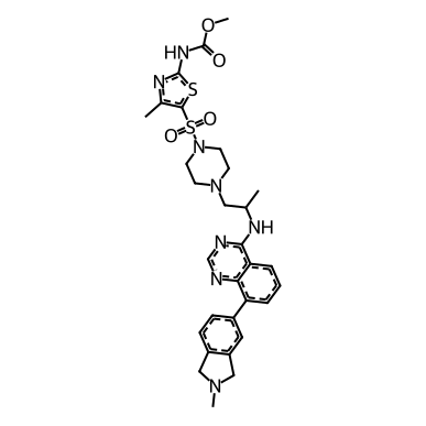 COC(=O)Nc1nc(C)c(S(=O)(=O)N2CCN(CC(C)Nc3ncnc4c(-c5ccc6c(c5)CN(C)C6)cccc34)CC2)s1